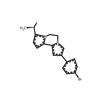 C[C@@H](I)c1ccc2n1CCn1cc(-c3ccc(Br)cc3)cc1-2